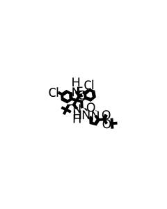 Cn1c(NC(=O)[C@@H]2N[C@@H](CC(C)(C)C)C3(C(=O)Nc4cc(Cl)ccc43)[C@H]2c2cccc(Cl)c2F)ccc1C(=O)OC(C)(C)C